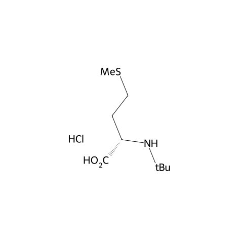 CSCC[C@H](NC(C)(C)C)C(=O)O.Cl